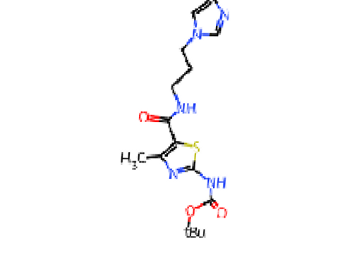 Cc1nc(NC(=O)OC(C)(C)C)sc1C(=O)NCCCn1ccnc1